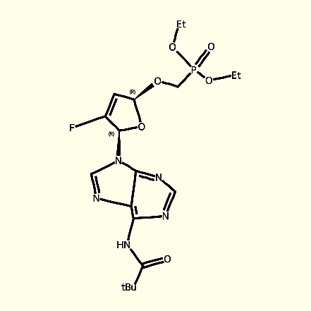 CCOP(=O)(CO[C@@H]1C=C(F)[C@H](n2cnc3c(NC(=O)C(C)(C)C)ncnc32)O1)OCC